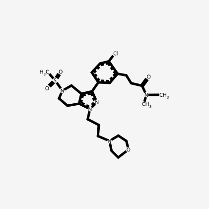 CN(C)C(=O)CCc1cc(-c2nn(CCCN3CCOCC3)c3c2CN(S(C)(=O)=O)CC3)ccc1Cl